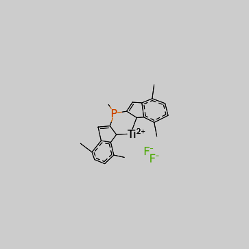 Cc1ccc(C)c2c1C=C1[CH]2[Ti+2][CH]2C(=Cc3c(C)ccc(C)c32)P1C.[F-].[F-]